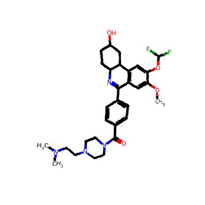 COc1cc2c(cc1OC(F)F)C1CC(O)CCC1N=C2c1ccc(C(=O)N2CCN(CCN(C)C)CC2)cc1